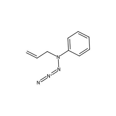 C=CCN(N=[N+]=[N-])c1ccccc1